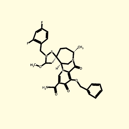 COC1C[C@@]2(CC[C@H](C)N3C[C@H]2n2cc(C(N)=O)c(=O)c(OCc4ccccc4)c2C3=O)SN1Cc1ccc(F)cc1F